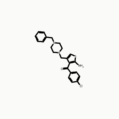 Nc1scc(CN2CCN(Cc3ccccc3)CC2)c1C(=O)c1ccc(Cl)cc1